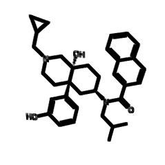 CC(C)CN(C(=O)c1ccc2ccccc2c1)[C@@H]1CC[C@]2(O)CN(CC3CC3)CC[C@@]2(c2cccc(O)c2)C1